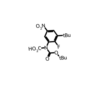 CC(C)(C)OC(=O)N(C(=O)O)c1cc([N+](=O)[O-])cc(C(C)(C)C)c1F